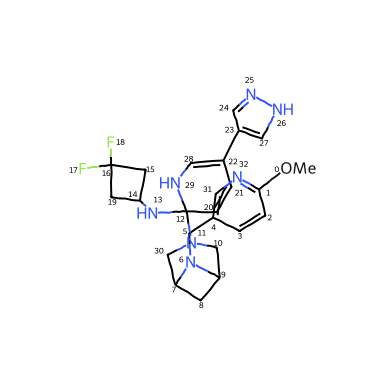 COc1ccc(CN2C3CC2CN(C2(NC4CC(F)(F)C4)C=CC(c4cn[nH]c4)=CN2)C3)cn1